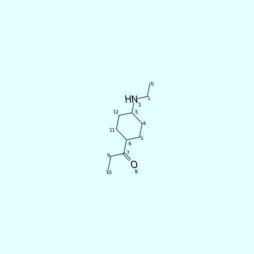 CCNC1CCC(C(=O)CC)CC1